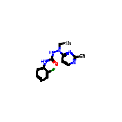 CC(C)(C)CN(NC(=O)Nc1ccccc1F)c1ccnc(C#N)n1